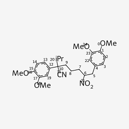 COc1ccc(CC(CCCC(C#N)(c2ccc(OC)c(OC)c2)C(C)C)[N+](=O)[O-])cc1OC